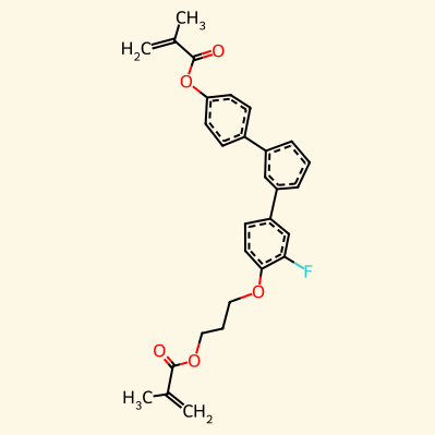 C=C(C)C(=O)OCCCOc1ccc(-c2cccc(-c3ccc(OC(=O)C(=C)C)cc3)c2)cc1F